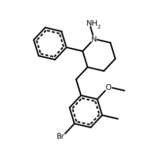 COc1c(C)cc(Br)cc1CC1CCCN(N)C1c1ccccc1